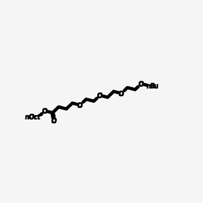 CCCCCCCCOC(=O)CCCOCCOCCOCCOCCCC